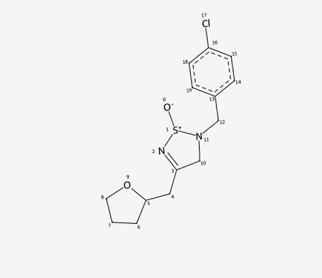 [O-][S+]1N=C(CC2CCCO2)CN1Cc1ccc(Cl)cc1